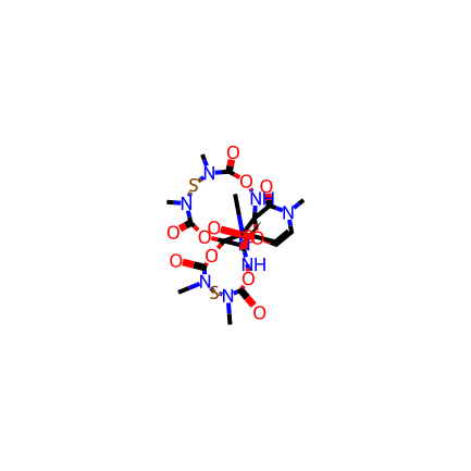 CN1C=COC2(CC3(OC(=O)N(C)SN(C)C(=O)ON2)OC(=O)N(C)SN(C)C(=O)ONC32OC=CN(C)C2=O)C1=O